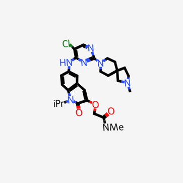 CNC(=O)COc1cc2cc(Nc3nc(N4CCC5(CCN(C)C5)CC4)ncc3Cl)ccc2n(C(C)C)c1=O